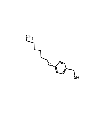 CCCCCCCOc1ccc(CS)cc1